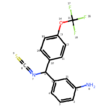 Nc1cccc(C(N=C=S)c2ccc(OC(F)(F)F)cc2)c1